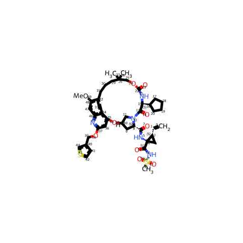 C=C[C@@H]1C[C@]1(NC(=O)[C@@H]1C[C@@H]2CN1C(=O)[C@H](C1CCCC1)NC(=O)OCC(C)(C)CCCc1cc3c(cc(OCc4ccsc4)nc3cc1OC)O2)C(=O)NS(C)(=O)=O